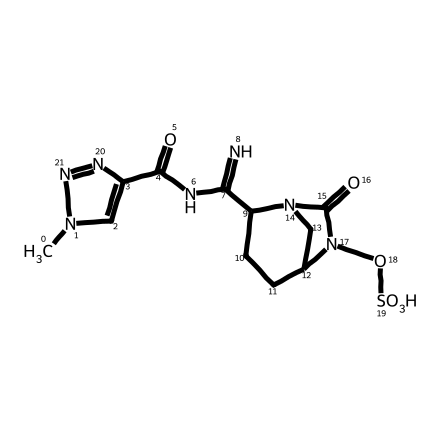 Cn1cc(C(=O)NC(=N)C2CCC3CN2C(=O)N3OS(=O)(=O)O)nn1